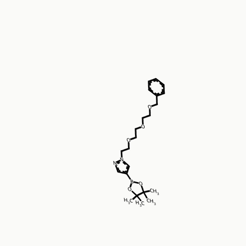 CC1(C)OB(c2cnn(CCOCCOCCOCc3ccccc3)c2)OC1(C)C